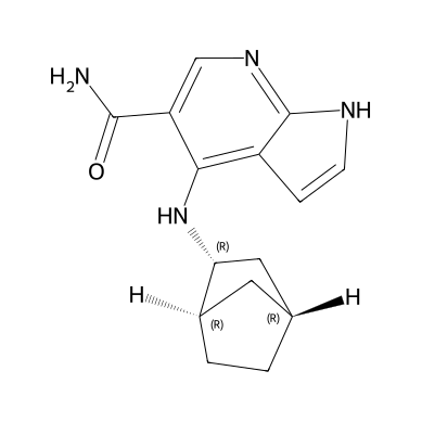 NC(=O)c1cnc2[nH]ccc2c1N[C@@H]1C[C@@H]2CC[C@@H]1C2